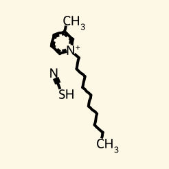 CCCCCCCCCC[n+]1cccc(C)c1.N#CS